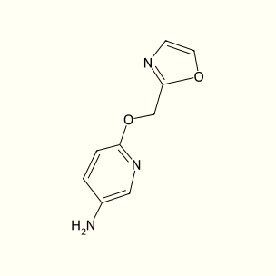 Nc1ccc(OCc2ncco2)nc1